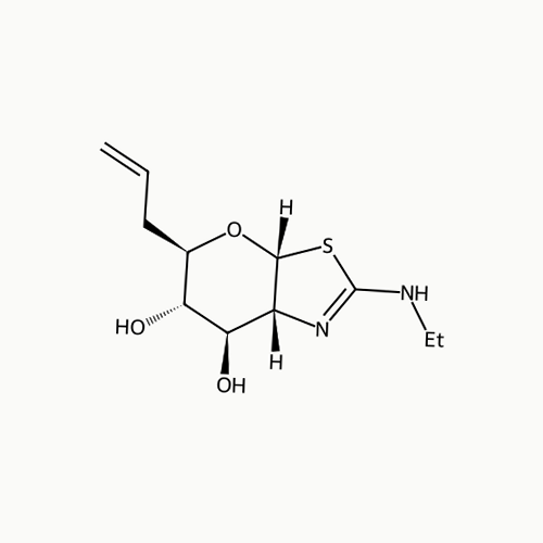 C=CC[C@H]1O[C@@H]2SC(NCC)=N[C@@H]2[C@@H](O)[C@@H]1O